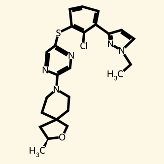 CCn1ccc(-c2cccc(Sc3cnc(N4CCC5(CC4)CO[C@@H](C)C5)cn3)c2Cl)n1